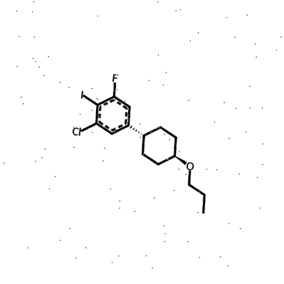 CCCO[C@H]1CC[C@H](c2cc(F)c(I)c(Cl)c2)CC1